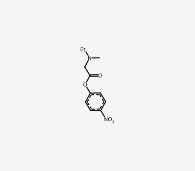 CCN(C)CC(=O)Oc1ccc([N+](=O)[O-])cc1